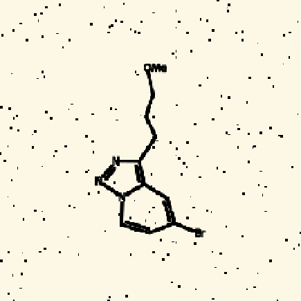 COCCCc1nnn2ccc(Br)cc12